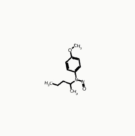 CCCC(C)N(N=O)c1ccc(OC)cc1